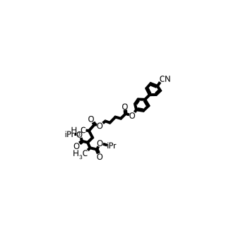 CC(C)OC(=O)C(C)C(CC(C)C(=O)OCCCCC(=O)Oc1ccc(-c2ccc(C#N)cc2)cc1)C(=O)OC(C)C